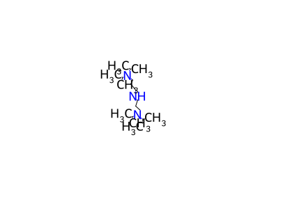 CC(C)N(CCCNCCCN(C(C)C)C(C)C)C(C)C